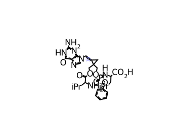 CC(C)CC(N[P@](=O)(OCC1(COC(=O)C(N)C(C)C)C/C1=C/n1cnc2c(=O)[nH]c(N)nc21)Oc1ccccc1)C(=O)O